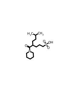 CC(C)CCC(CCCS(=O)(=O)O)C(=O)N1CCCCC1